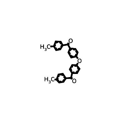 Cc1ccc(C(=O)c2ccc(Oc3ccc(C(=O)c4ccc(C)cc4)cc3)cc2)cc1